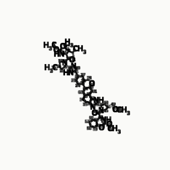 CCC(C)C(NC(=O)OC)C(=O)N1C[C@@H](C)C[C@H]1c1ncc(-c2ccc3c(c2)COc2cc4c(ccc5nc([C@@H]6C[C@H](COC)CN6C(=O)C(NC(=O)OC)c6ccccc6)[nH]c54)cc2-3)[nH]1